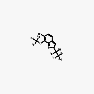 [2H]C([2H])([2H])Oc1c(Br)ccc2cn(C([2H])([2H])C([2H])([2H])[2H])nc12